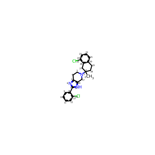 CC1(N2CCc3nc(-c4ccccc4Cl)[nH]c3C2)CCc2cccc(Cl)c2C1